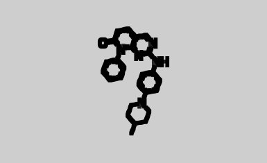 CC1CCN(c2ccc(Nc3ncc4ccc(=O)n(-c5ccccc5)c4n3)cc2)CC1